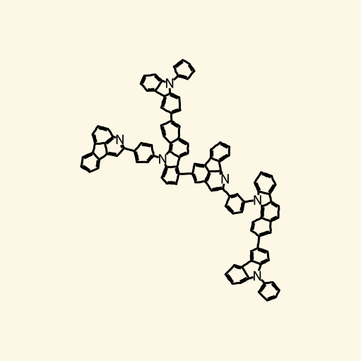 c1ccc(-n2c3ccccc3c3cc(-c4ccc5c(ccc6c7ccccc7n(-c7cccc(-c8cc9cc(-c%10cccc%11c%10c%10ccc%12cc(-c%13ccc%14c(c%13)c%13ccccc%13n%14-c%13ccccc%13)ccc%12c%10n%11-c%10ccc(-c%11cc%12c%13c(cccc%13n%11)-c%11ccccc%11-%12)cc%10)cc%10c9c(n8)-c8ccccc8-%10)c7)c56)c4)ccc32)cc1